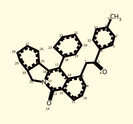 Cc1ccc(C(=O)Cc2cccc3c(=O)n4c(c(-c5ccccc5)c23)-c2ccccc2C4)cc1